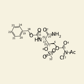 CC(=O)N(Cl)C(=O)OC[C@@H](OS(C)(=O)=O)[C@H](NC(=O)OCc1ccccc1)C(N)=O